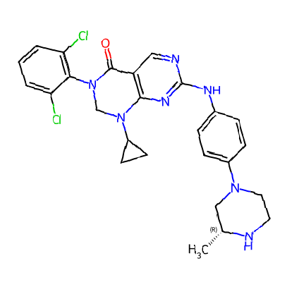 C[C@@H]1CN(c2ccc(Nc3ncc4c(n3)N(C3CC3)CN(c3c(Cl)cccc3Cl)C4=O)cc2)CCN1